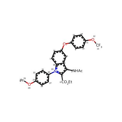 CCOC(=O)c1c(NC(C)=O)c2cc(Oc3ccc(OC(F)(F)F)cc3)ccc2n1-c1ccc(OC(C)C)cc1